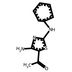 CC(=O)c1sc(Nc2ccccc2)nc1N